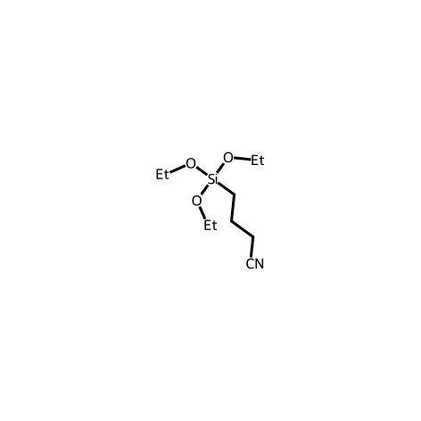 CCO[Si](CCCC#N)(OCC)OCC